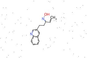 C=CC(CCc1cnc2ccccc2c1)=NO